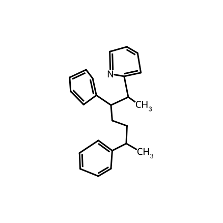 CC(CCC(c1ccccc1)C(C)c1ccccn1)c1ccccc1